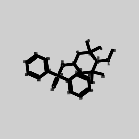 CON1C(C)(C)CC(OP(=O)(c2ccccc2)c2ccccc2)CC1(C)C